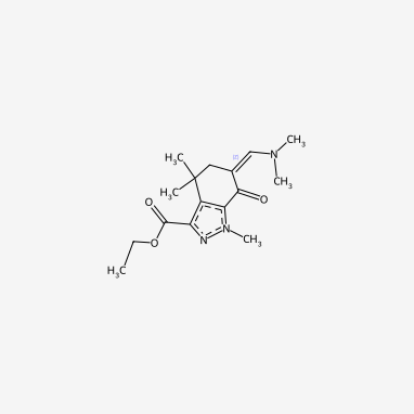 CCOC(=O)c1nn(C)c2c1C(C)(C)C/C(=C/N(C)C)C2=O